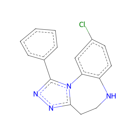 Clc1ccc2c(c1)-n1c(nnc1-c1ccccc1)CCN2